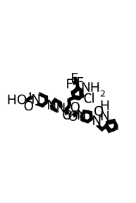 C[C@H](C(=O)O)N1CCC(N2CCN(C(=O)C(Cc3cc(Cl)c(N)c(C(F)(F)F)c3)OC(=O)N3CCC(N4CCc5ccccc5NC4=O)CC3)CC2)CC1